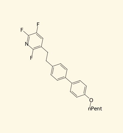 CCCCCOc1ccc(-c2ccc(CCc3cc(F)c(F)nc3F)cc2)cc1